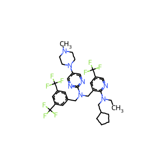 CCN(CC1CCCC1)c1ncc(C(F)(F)F)cc1CN(Cc1cc(C(F)(F)F)cc(C(F)(F)F)c1)c1ncc(N2CCN(C)CC2)cn1